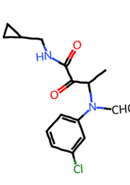 CC(C(=O)C(=O)NCC1CC1)N(C=O)c1cccc(Cl)c1